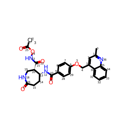 Cc1cc(COc2ccc(C(=O)N[C@@H]3CCC(=O)NC[C@@H]3C(=O)NOC(=O)C(F)(F)F)cc2)c2ccccc2n1